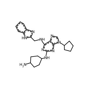 NC1CCC(Nc2nc(NCc3nc4ccccc4[nH]3)c3ncn(C4CCCC4)c3n2)CC1